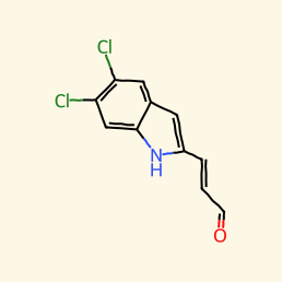 O=CC=Cc1cc2cc(Cl)c(Cl)cc2[nH]1